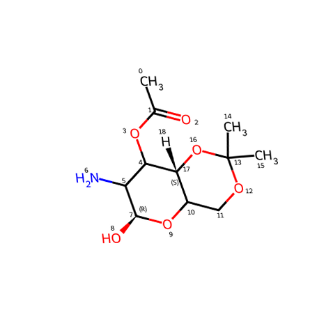 CC(=O)OC1C(N)[C@H](O)OC2COC(C)(C)O[C@H]21